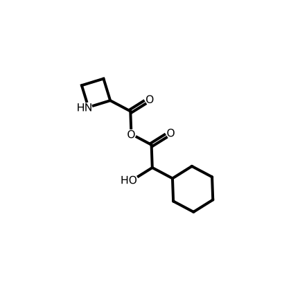 O=C(OC(=O)C(O)C1CCCCC1)C1CCN1